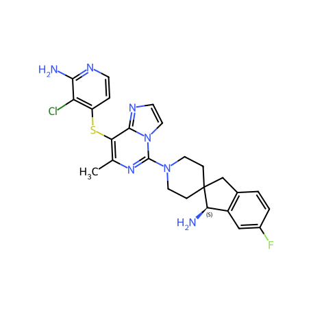 Cc1nc(N2CCC3(CC2)Cc2ccc(F)cc2[C@H]3N)n2ccnc2c1Sc1ccnc(N)c1Cl